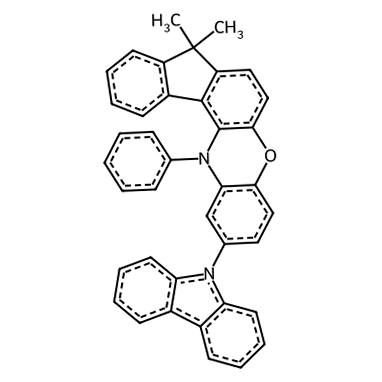 CC1(C)c2ccccc2-c2c1ccc1c2N(c2ccccc2)c2cc(-n3c4ccccc4c4ccccc43)ccc2O1